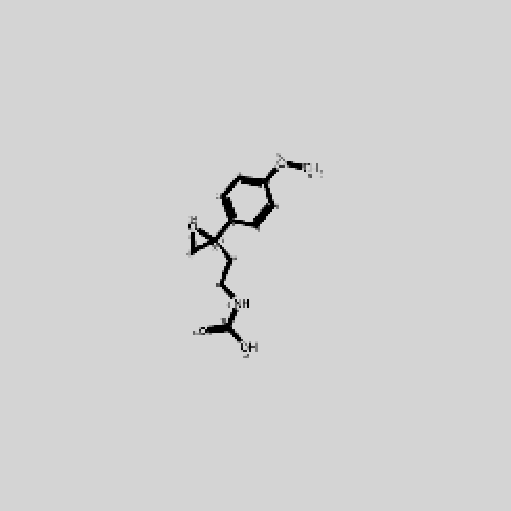 COc1ccc([C@]2(CCNC(=O)O)CO2)cc1